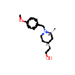 COc1ccc(CN2CC[C@H](CCO)C[C@H]2C)cc1